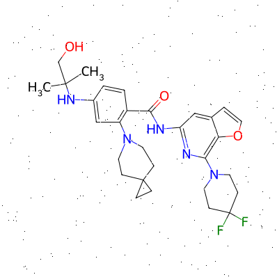 CC(C)(CO)Nc1ccc(C(=O)Nc2cc3ccoc3c(N3CCC(F)(F)CC3)n2)c(N2CCC3(CC2)CC3)c1